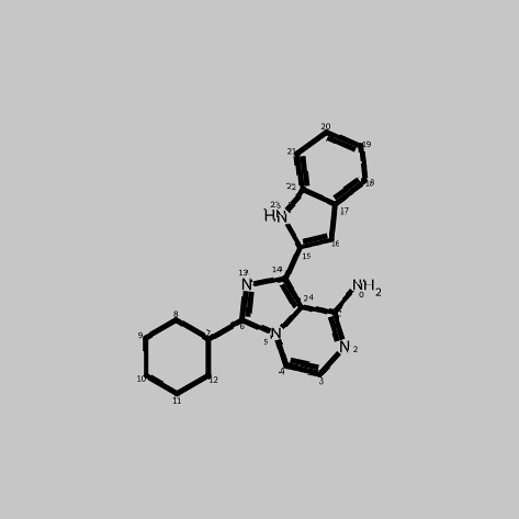 Nc1nccn2c(C3CCCCC3)nc(-c3cc4ccccc4[nH]3)c12